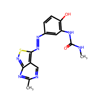 CNC(=O)Nc1cc(/N=N/c2snc3nc(C)ncc23)ccc1O